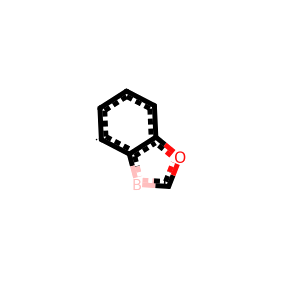 b1coc2ccc[c]c12